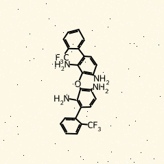 Nc1ccc(-c2ccccc2C(F)(F)F)c(N)c1Oc1c(N)ccc(-c2ccccc2C(F)(F)F)c1N